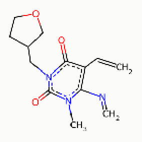 C=Cc1c(N=C)n(C)c(=O)n(CC2CCOC2)c1=O